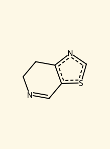 C1=NCCc2ncsc21